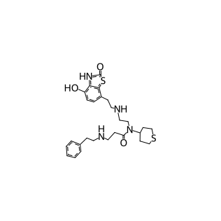 O=C(CCNCCc1ccccc1)N(CCNCCc1ccc(O)c2[nH]c(=O)sc12)C1CCSCC1